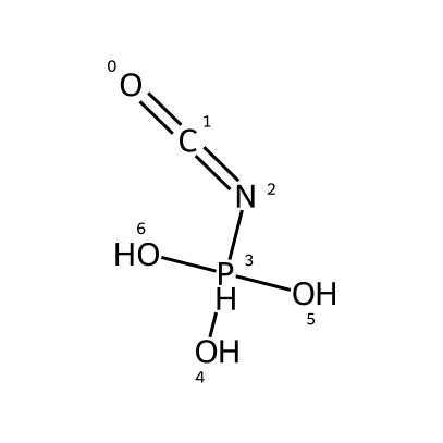 O=C=N[PH](O)(O)O